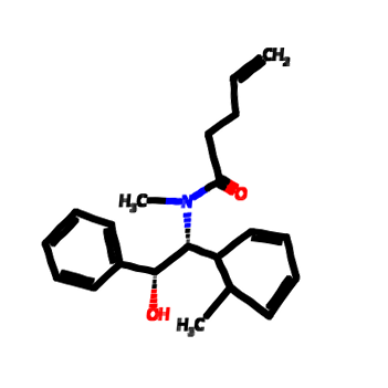 C=CCCC(=O)N(C)[C@H](C1C=CC=CC1C)[C@H](O)c1ccccc1